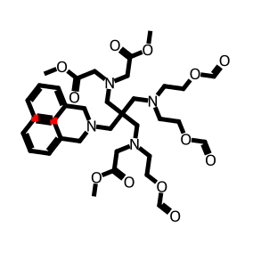 COC(=O)CN(CCOC=O)CC(CN(CCOC=O)CCOC=O)(CN(CC(=O)OC)CC(=O)OC)CN(Cc1ccccc1)Cc1ccccc1